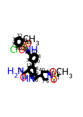 CCS(=O)(=O)N1CCC(c2c[nH]c3c(C(N)=O)cc(-c4cccc(CNS(=O)(=O)c5c(C)cccc5Cl)c4)cc23)CC1